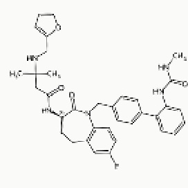 CNC(=O)Nc1ccccc1-c1ccc(CN2C(=O)[C@H](NC(=O)CC(C)(C)NCc3ccco3)CCc3cc(F)ccc32)cc1